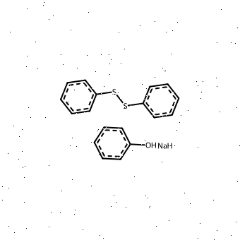 Oc1ccccc1.[NaH].c1ccc(SSc2ccccc2)cc1